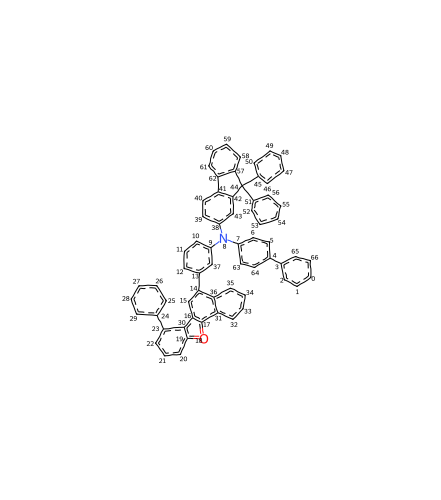 c1ccc(-c2ccc(N(c3cccc(-c4cc5c(oc6cccc(-c7ccccc7)c65)c5ccccc45)c3)c3ccc4c(c3)C(c3ccccc3)(c3ccccc3)c3ccccc3-4)cc2)cc1